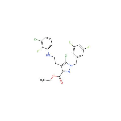 CCOC(=O)c1nn(Cc2cc(F)cc(F)c2)c(Cl)c1CCNc1cccc(Cl)c1F